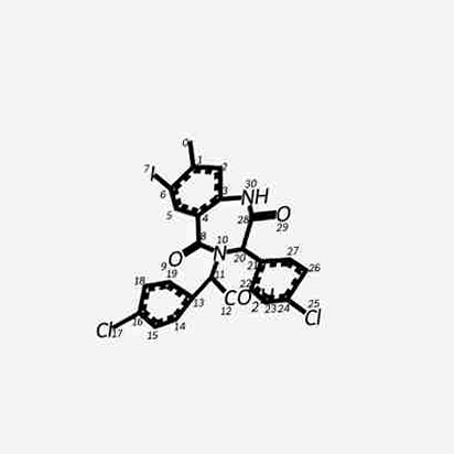 Cc1cc2c(cc1I)C(=O)N(C(C(=O)O)c1ccc(Cl)cc1)C(c1ccc(Cl)cc1)C(=O)N2